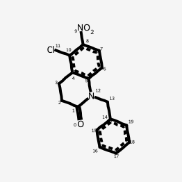 O=C1CCc2c(ccc([N+](=O)[O-])c2Cl)N1Cc1ccccc1